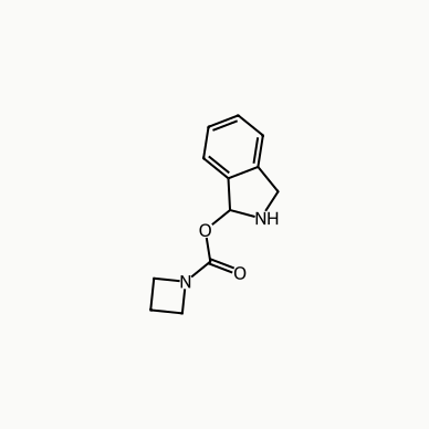 O=C(OC1NCc2ccccc21)N1CCC1